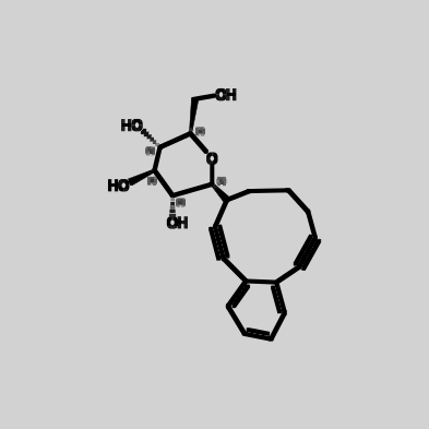 OC[C@H]1O[C@@H](C2C#Cc3ccccc3C#CCCC2)[C@H](O)[C@@H](O)[C@@H]1O